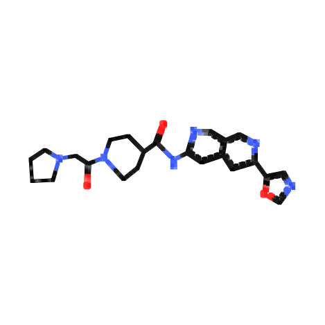 O=C(Nc1cc2cc(-c3cnco3)ncc2cn1)C1CCN(C(=O)CN2CCCC2)CC1